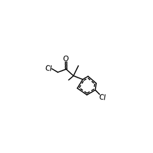 CC(C)(C(=O)CCl)c1ccc(Cl)cc1